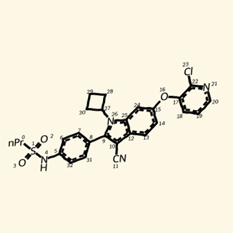 CCCS(=O)(=O)Nc1ccc(-c2c(C#N)c3ccc(Oc4cccnc4Cl)cc3n2C2CCC2)cc1